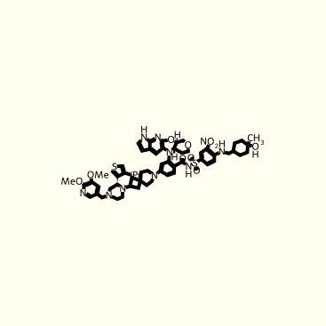 COc1cc(CN2CCN(C3CC4(CCN(c5ccc(C(=O)NS(=O)(=O)c6ccc(NCC7CCC(C)(O)CC7)c([N+](=O)[O-])c6)c(N6c7cc8cc[nH]c8nc7O[C@H]7COCC[C@@H]76)c5)CC4)C3)[C@@H](c3cscc3C(C)C)C2)cnc1OC